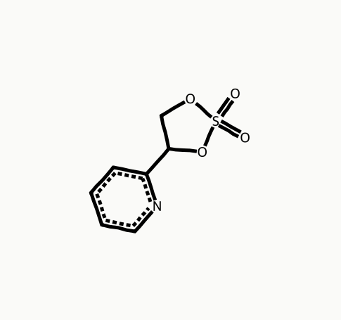 O=S1(=O)OCC(c2ccccn2)O1